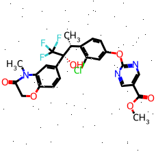 COC(=O)c1cnc(Oc2ccc([C@@H](C)[C@@](O)(c3ccc4c(c3)N(C)C(=O)CO4)C(F)(F)F)c(Cl)c2)nc1